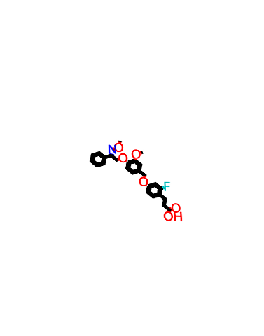 CON=C(COc1ccc(COc2ccc(CCC(=O)O)c(F)c2)cc1OC)c1ccccc1